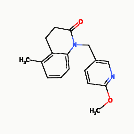 COc1ccc(CN2C(=O)CCc3c(C)cccc32)cn1